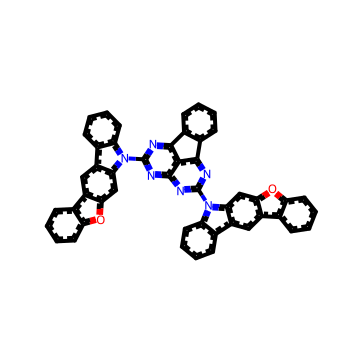 c1ccc2c(c1)-c1nc(-n3c4ccccc4c4cc5c(cc43)oc3ccccc35)nc3nc(-n4c5ccccc5c5cc6c(cc54)oc4ccccc46)nc-2c13